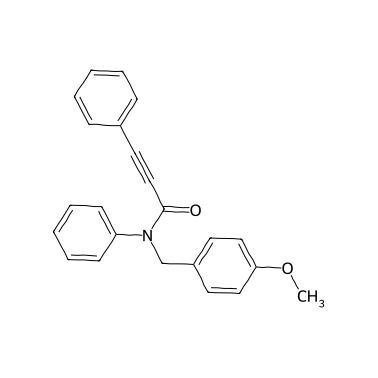 COc1ccc(CN(C(=O)C#Cc2ccccc2)c2ccccc2)cc1